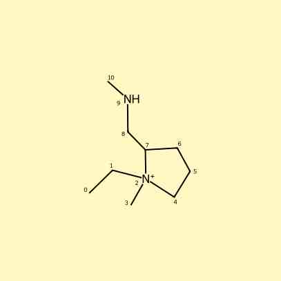 CC[N+]1(C)CCCC1CNC